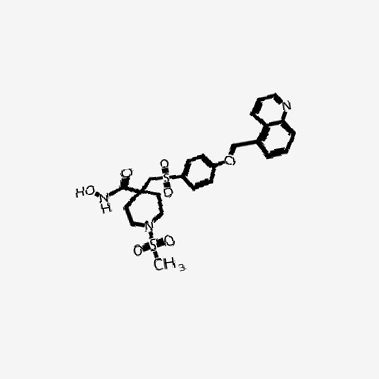 CS(=O)(=O)N1CCC(CS(=O)(=O)c2ccc(OCc3cccc4ncccc34)cc2)(C(=O)NO)CC1